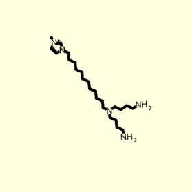 C[n+]1ccn(CCCCCCCCCCCCN(CCCCN)CCCCN)c1